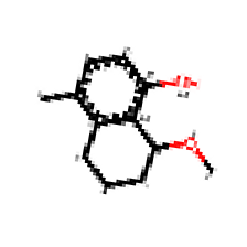 COC1CCCc2c(C)ccc(O)c21